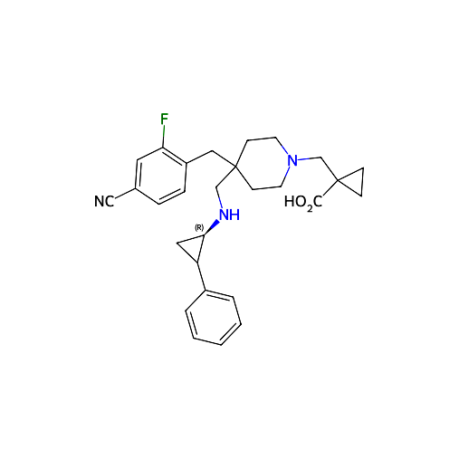 N#Cc1ccc(CC2(CN[C@@H]3CC3c3ccccc3)CCN(CC3(C(=O)O)CC3)CC2)c(F)c1